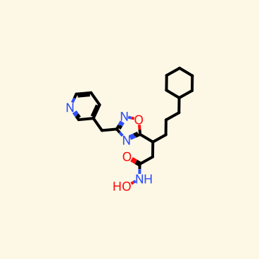 O=C(CC(CCCC1CCCCC1)c1nc(Cc2cccnc2)no1)NO